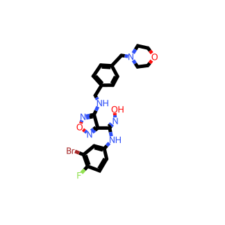 O/N=C(/Nc1ccc(F)c(Br)c1)c1nonc1NCc1ccc(CN2CCOCC2)cc1